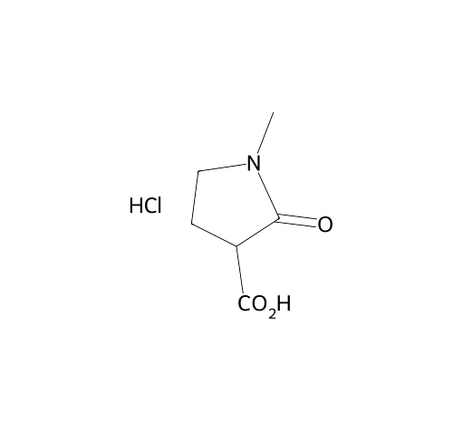 CN1CCC(C(=O)O)C1=O.Cl